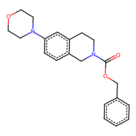 O=C(OCc1ccccc1)N1CCc2cc(N3CCOCC3)ccc2C1